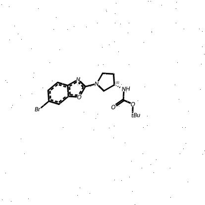 CC(C)(C)OC(=O)N[C@H]1CCN(c2nc3ccc(Br)cc3o2)C1